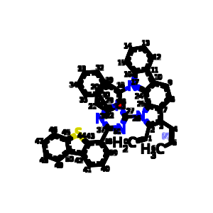 C=Cc1c(/C=C\C)c2ccc3c4ccccc4n(-c4ccccc4)c3c2n1-c1nc(-c2ccccc2)nc(-c2cccc3c2sc2ccccc23)n1